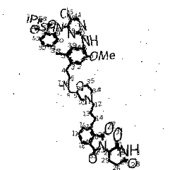 COc1cc(CCN(C)C[C@@H]2CN(CCCc3cccc4c3C(=O)N(C3CCC(=O)NC3=O)C4=O)CCO2)c(C)cc1Nc1ncc(Cl)c(Nc2ccccc2S(=O)(=O)C(C)C)n1